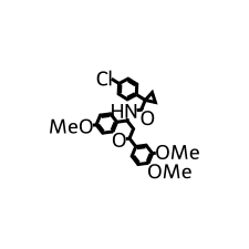 COc1ccc2c(c1)OC(c1ccc(OC)c(OC)c1)CC2NC(=O)C1(c2ccc(Cl)cc2)CC1